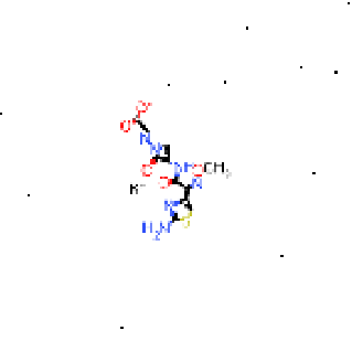 CO/N=C(\C(=O)N[C@H]1CN(N=CC(=O)[O-])C1=O)c1csc(N)n1.[K+]